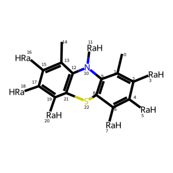 Cc1[c]([RaH])[c]([RaH])[c]([RaH])c2c1[N]([RaH])c1c(C)[c]([RaH])[c]([RaH])[c]([RaH])c1S2